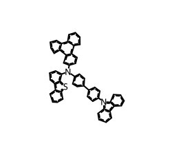 c1ccc2c(c1)sc1c(N(c3ccc(-c4ccc(-n5c6ccccc6c6ccccc65)cc4)cc3)c3ccc4c5ccccc5c5ccccc5c4c3)cccc12